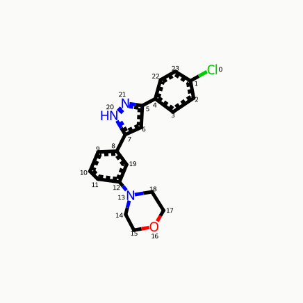 Clc1ccc(-c2cc(-c3cccc(N4CCOCC4)c3)[nH]n2)cc1